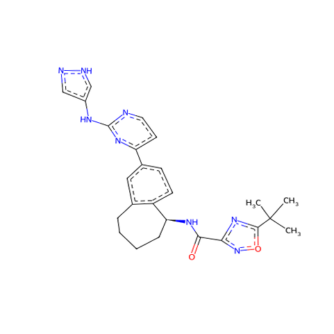 CC(C)(C)c1nc(C(=O)N[C@H]2CCCCc3cc(-c4ccnc(Nc5cn[nH]c5)n4)ccc32)no1